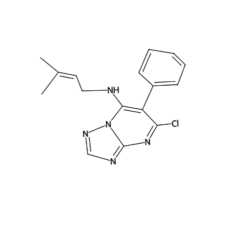 CC(C)=CCNc1c(-c2ccccc2)c(Cl)nc2ncnn12